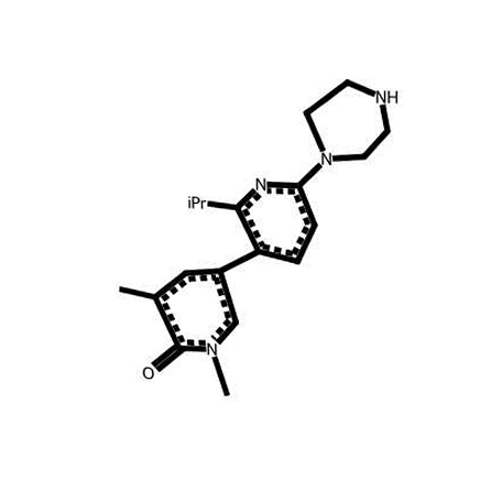 Cc1cc(-c2ccc(N3CCNCC3)nc2C(C)C)cn(C)c1=O